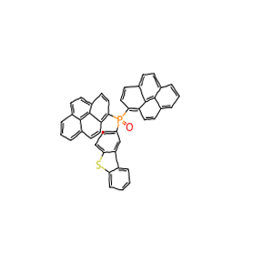 O=P(c1ccc2sc3ccccc3c2c1)(c1ccc2ccc3cccc4ccc1c2c34)c1ccc2ccc3cccc4ccc1c2c34